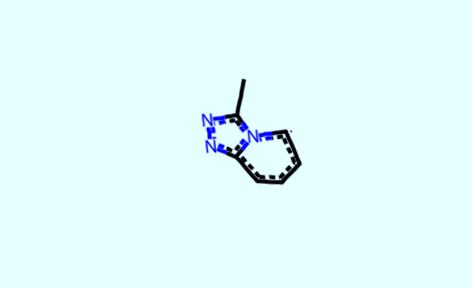 Cc1nnc2ccc[c]n12